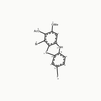 COc1cc2c(c(Br)c1OC(C)=O)Sc1cc(F)ccc1N2